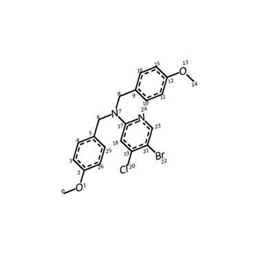 COc1ccc(CN(Cc2ccc(OC)cc2)c2cc(Cl)c(Br)cn2)cc1